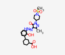 CC1=NN(C2CCN(S(C)(=O)=O)CC2)C(=O)C1=NNc1cccc(C2CCCC(C(=O)O)C2)c1O